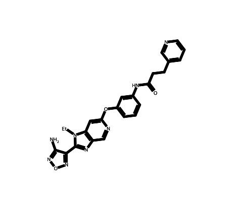 CCn1c(-c2nonc2N)nc2cnc(Oc3cccc(NC(=O)CCc4cccnc4)c3)cc21